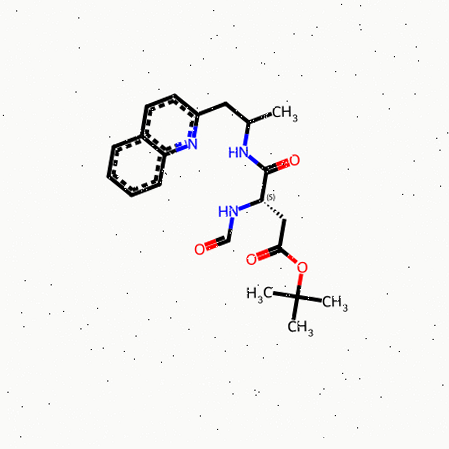 CC(Cc1ccc2ccccc2n1)NC(=O)[C@H](CC(=O)OC(C)(C)C)NC=O